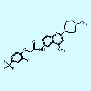 Cc1nc(N2CCCN(C)CC2)nc2ccc(NC(=O)COc3ccc(C(F)(F)F)cc3Cl)cc12